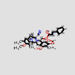 COc1c(C)cc2c(c1C)[C@@H]1C3Cc4c(O)c(C)c5c(c4[C@H](COC(=O)/C=C/c4ccccc4)N3[C@@H](C#N)[C@H](C2)N1C)OCO5